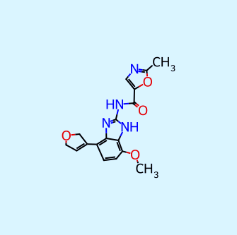 COc1ccc(C2=CCOC2)c2nc(NC(=O)c3cnc(C)o3)[nH]c12